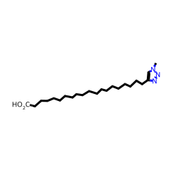 Cn1cc(CCCCCCCCCCCCCCCCCCCC(=O)O)nn1